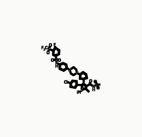 Cc1c(C(=O)NS(C)(=O)=O)c(-c2cccc(N3CCN(c4ccc(NS(=O)(=O)c5ccc(F)c(S(=O)(=O)C(F)(F)F)c5)cc4)CC3)c2)c(-c2ccc(Cl)cc2)n1C(C)C